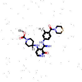 CCC1(Nc2cc[nH]c(=O)c2C(=N)Nc2ccc(C(=O)N3CCSCC3)c(C)c2)CCN(C(=O)OC(C)(C)C)CC1